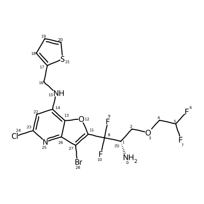 N[C@@H](COCC(F)F)C(F)(F)c1oc2c(NCc3cccs3)cc(Cl)nc2c1Br